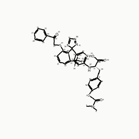 CN(C)C(=O)Oc1ccc(C[C@H](Nc2ccc(C3(c4c(SCC(=O)c5ccccc5)cccc4C(F)(F)F)N=CN=N3)cn2)C(=O)O)cc1